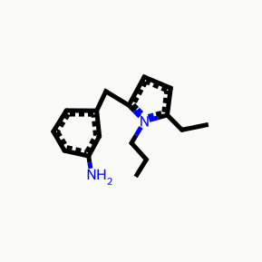 CCCn1c(CC)ccc1Cc1cccc(N)c1